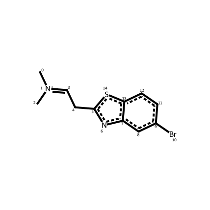 C[N+](C)=CCc1nc2cc(Br)ccc2s1